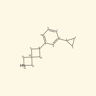 c1cc(C2CC2)cc(C2CC3(CNC3)C2)c1